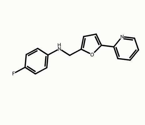 Fc1ccc(NCc2ccc(-c3ccccn3)o2)cc1